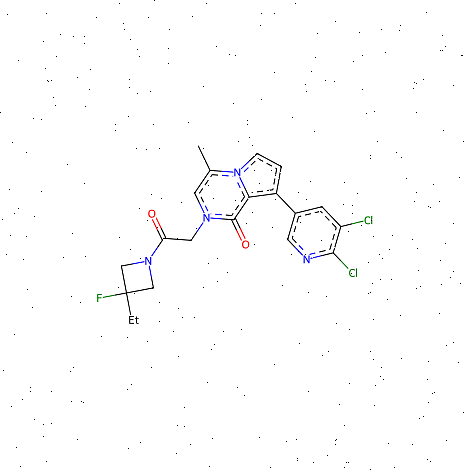 CCC1(F)CN(C(=O)Cn2cc(C)n3ccc(-c4cnc(Cl)c(Cl)c4)c3c2=O)C1